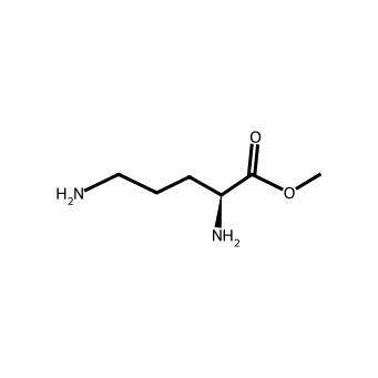 COC(=O)[C@@H](N)CCCN